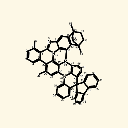 Cc1cccc2c1c1nc3cc4c(c5c3n1c1c3c(cc(C)c21)N1c2ccccc2C2(c6ccccc6-c6ccccc62)c2cccc(c21)B53)C1(C)CCC4(C)CC1